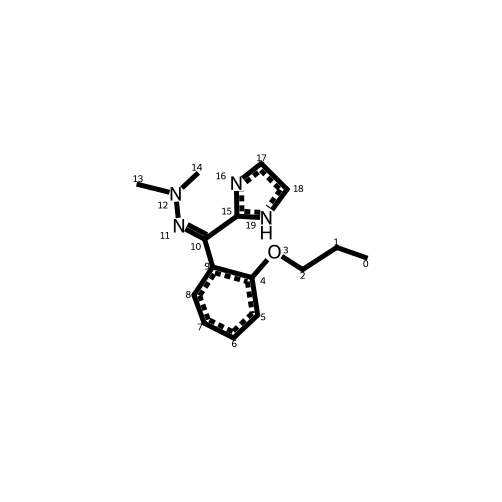 CCCOc1ccccc1C(=NN(C)C)c1ncc[nH]1